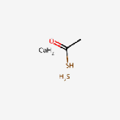 CC(=O)S.S.[CaH2]